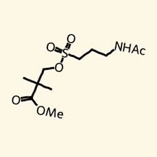 COC(=O)C(C)(C)COS(=O)(=O)CCCNC(C)=O